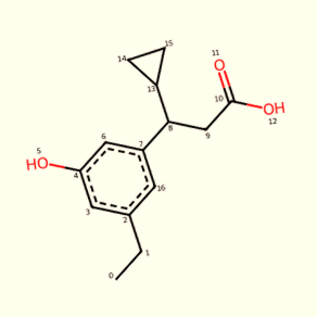 CCc1cc(O)cc(C(CC(=O)O)C2CC2)c1